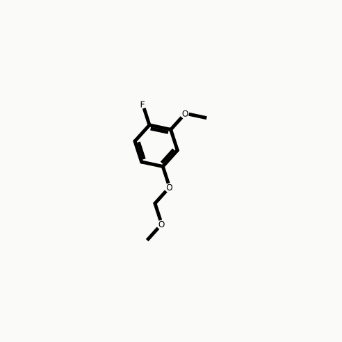 COCOc1ccc(F)c(OC)c1